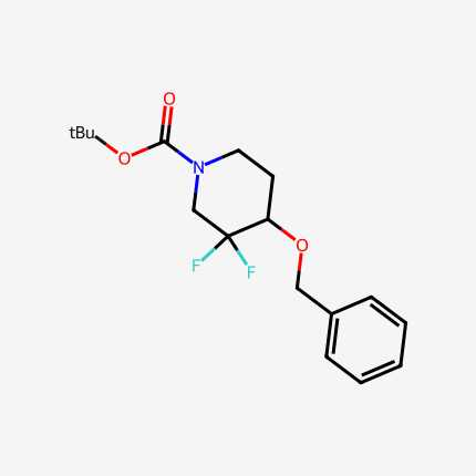 CC(C)(C)OC(=O)N1CCC(OCc2ccccc2)C(F)(F)C1